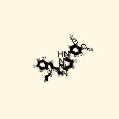 C=CCn1c(-c2cnc3ccc(Nc4ccc(OC)c(OC)c4)nn23)cc2ccccc21